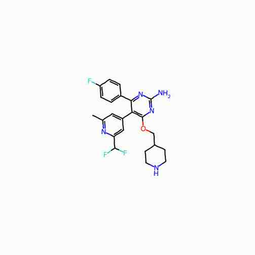 Cc1cc(-c2c(OCC3CCNCC3)nc(N)nc2-c2ccc(F)cc2)cc(C(F)F)n1